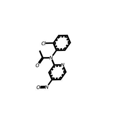 CC(=O)N(c1cc(N=O)ccn1)c1ccccc1Cl